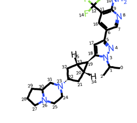 CC(C)n1nc(-c2cnc(N)c(C(F)(F)F)c2)cc1[C@H]1[C@@H]2C[C@H](N3CCN4CCCC4C3)C[C@@H]21